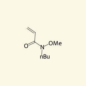 C=CC(=O)N(CCCC)OC